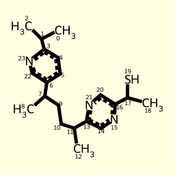 CC(C)c1ccc(C(C)CCC(C)c2cnc(C(C)S)cn2)cn1